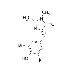 CC1=N/C(=C\c2cc(Br)c(O)c(Br)c2)C(=O)N1C